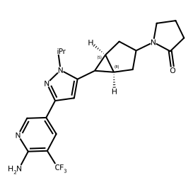 CC(C)n1nc(-c2cnc(N)c(C(F)(F)F)c2)cc1C1[C@H]2CC(N3CCCC3=O)C[C@@H]12